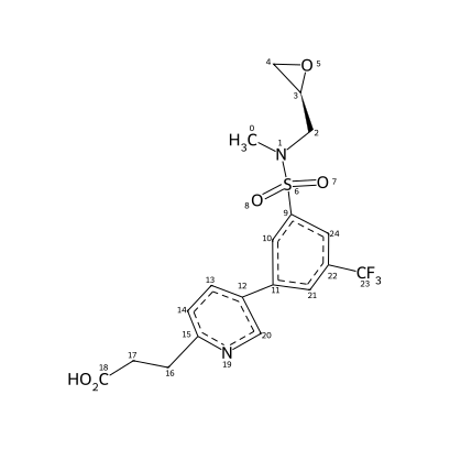 CN(C[C@H]1CO1)S(=O)(=O)c1cc(-c2ccc(CCC(=O)O)nc2)cc(C(F)(F)F)c1